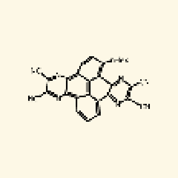 CCCCCCc1ccc2c3nc(C#N)c(C#N)nc3c3cccc4c5nc(C#N)c(C#N)nc5c1c2c34